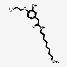 CCCCCCCCCCCCCCCC/C=C/NC(=O)Cc1ccc(OCCN)c(O)c1